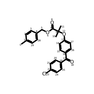 Cc1ccc(COC(=O)C(C)(C)Oc2ccc(C(=O)c3ccc(Cl)cc3)cc2)cc1